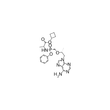 CC(N[P@@](=O)(CO[C@H](C)Cn1cnc2c(N)ncnc21)Oc1ccccc1)C(=O)OC1CCC1